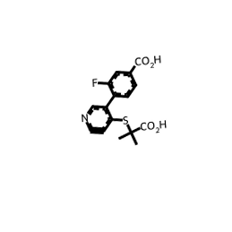 CC(C)(Sc1c#cncc1-c1ccc(C(=O)O)cc1F)C(=O)O